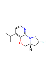 CC(C)c1ccnc2c1OC[C@H]1C[C@@H](F)CN21